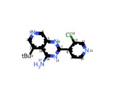 CC(C)(C)c1cncc2nc(-c3ccncc3Cl)nc(N)c12